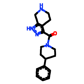 O=C(c1n[nH]c2c1CCNC2)N1CCC(c2ccccc2)CC1